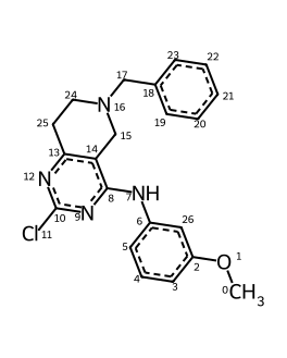 COc1cccc(Nc2nc(Cl)nc3c2CN(Cc2ccccc2)CC3)c1